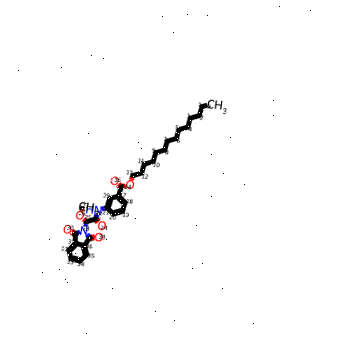 CCCCCCCCCCCCCCOC(=O)c1cccc(NC(=O)C(OC)N2C(=O)c3ccccc3C2=O)c1